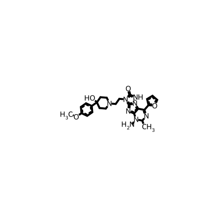 COc1ccc(C2(O)CCN(CCn3c(=O)[nH]n4c5c(nc34)N(N)C(C)N=C5c3ccco3)CC2)cc1